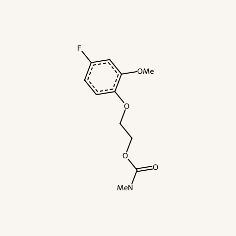 CNC(=O)OCCOc1ccc(F)cc1OC